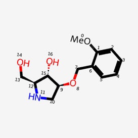 COc1ccccc1CO[C@H]1CN[C@@H](CO)[C@@H]1O